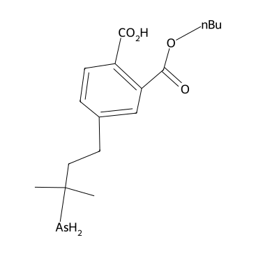 CCCCOC(=O)c1cc(CCC(C)(C)[AsH2])ccc1C(=O)O